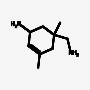 CC1=CC(N)CC(C)(CN)C1